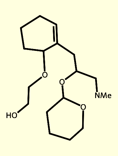 CNCC(CC1=CCCCC1OCCO)OC1CCCCO1